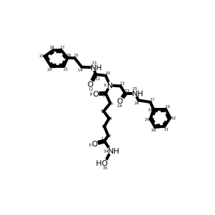 O=C(CCCCCC(=O)N(CC(=O)NCCc1ccccc1)CC(=O)NCCc1ccccc1)NO